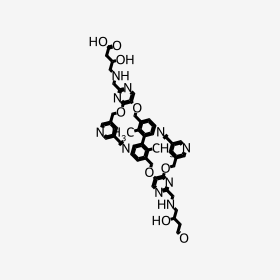 Cc1c(COc2cnc(CNCC(O)CC=O)nc2OCc2cncc(C#N)c2)cccc1-c1cccc(COc2cnc(CNCC(O)CC(=O)O)nc2OCc2cncc(C#N)c2)c1C